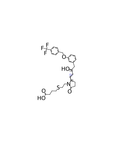 O=C(O)CCCSCCN1C(=O)CC[C@@H]1/C=C/[C@@H](O)Cc1cccc(OCc2ccc(C(F)(F)F)cc2)c1